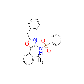 Cc1ccccc1-c1oc(Cc2ccccc2)nc1NS(=O)(=O)c1ccccc1